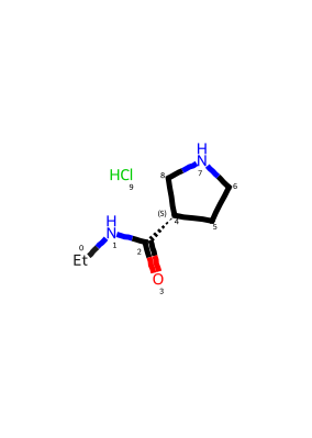 CCNC(=O)[C@H]1CCNC1.Cl